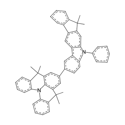 CC1(C)c2ccccc2-c2cc3c4cc(-c5cc6c7c(c5)C(C)(C)c5ccccc5N7c5ccccc5C6(C)C)ccc4n(-c4ccccc4)c3cc21